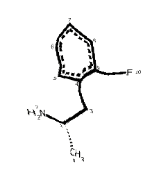 C[C@H](N)Cc1ccccc1F